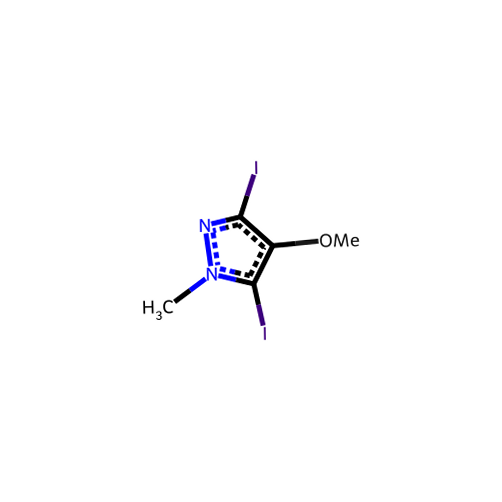 COc1c(I)nn(C)c1I